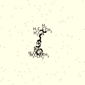 C=CC(=C)/C(C=C)=N\C(C)=C/Cc1cnn(/C=C(\C=N/C)N2CCN(C)CC(C)(C)C(C)C2)c1